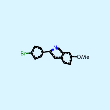 COc1ccc2cc(-c3ccc(Br)cc3)ncc2c1